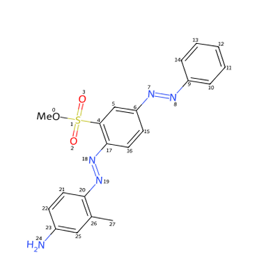 COS(=O)(=O)c1cc(N=Nc2ccccc2)ccc1N=Nc1ccc(N)cc1C